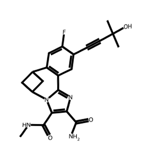 CNC(=O)c1c(C(N)=O)nc2n1C1CC(C1)c1cc(F)c(C#CC(C)(C)O)cc1-2